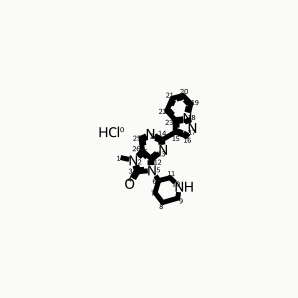 Cl.Cn1c(=O)n(C2CCCNC2)c2nc(-c3cnn4ccccc34)ncc21